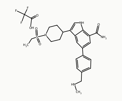 CCS(=O)(=O)N1CCC(c2c[nH]c3c(C(N)=O)cc(-c4ccc(CNC)cc4)cc23)CC1.O=C(O)C(F)(F)F